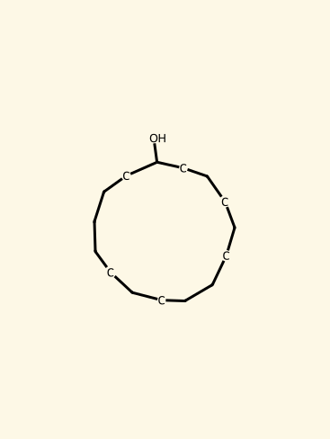 OC1CCCCCCCCCCCCCC1